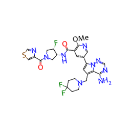 COc1ncc(-c2cc(CN3CCC(F)(F)CC3)c3c(N)ncnn23)cc1C(=O)N[C@@H]1CN(C(=O)c2cscn2)C[C@@H]1F